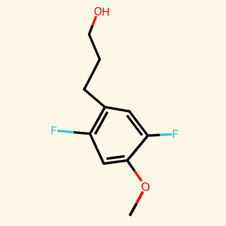 COc1cc(F)c(CCCO)cc1F